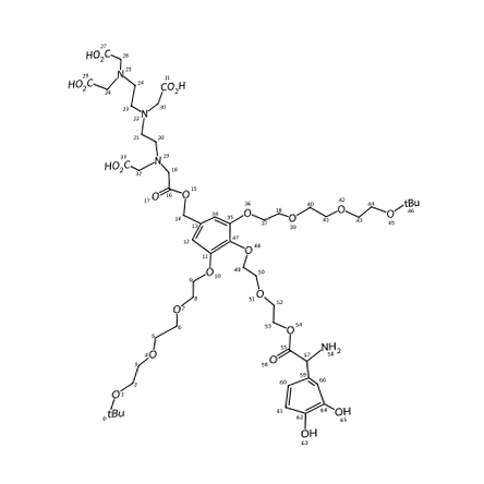 CC(C)(C)OCCOCCOCCOc1cc(COC(=O)CN(CCN(CCN(CC(=O)O)CC(=O)O)CC(=O)O)CC(=O)O)cc(OCCOCCOCCOC(C)(C)C)c1OCCOCCOC(=O)C(N)c1ccc(O)c(O)c1